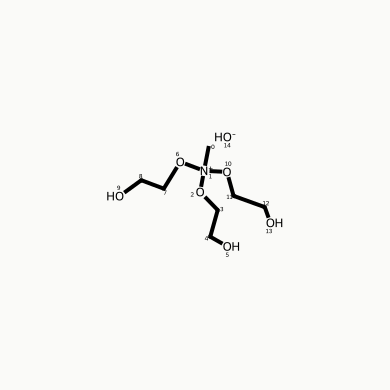 C[N+](OCCO)(OCCO)OCCO.[OH-]